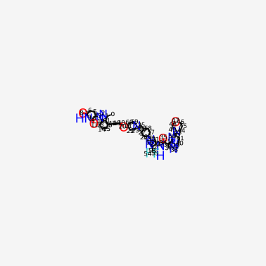 Cc1nn(C2CCC(=O)NC2=O)c2cccc(C#CCOC3CCN(CC4CCC(n5cc(NC(=O)c6cnn7ccc(N8CCCOCC8)nc67)c(C(F)F)n5)CC4)CC3)c12